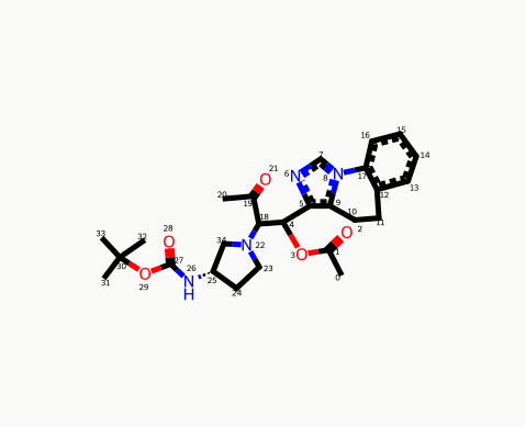 CC(=O)OC(c1ncn2c1CCc1ccccc1-2)C(C(C)=O)N1CC[C@H](NC(=O)OC(C)(C)C)C1